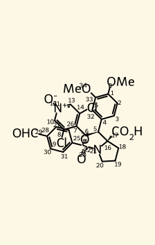 COc1ccc([C@H](Cc2c(Cl)c[n+]([O-])cc2Cl)[C@]2(C(=O)O)CCCN2S(=O)(=O)c2ccc(C=O)cc2)cc1OC